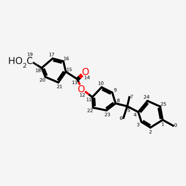 Cc1ccc(C(C)(C)c2ccc(OC(=O)c3ccc(C(=O)O)cc3)cc2)cc1